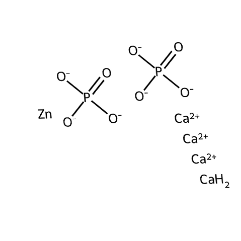 O=P([O-])([O-])[O-].O=P([O-])([O-])[O-].[Ca+2].[Ca+2].[Ca+2].[CaH2].[Zn]